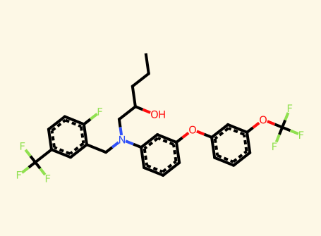 CCCC(O)CN(Cc1cc(C(F)(F)F)ccc1F)c1cccc(Oc2cccc(OC(F)(F)F)c2)c1